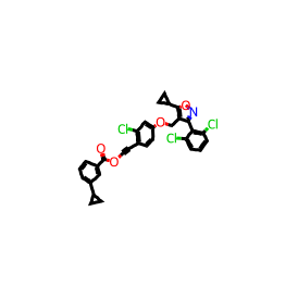 O=C(OC#Cc1ccc(OCc2c(-c3c(Cl)cccc3Cl)noc2C2CC2)cc1Cl)c1cccc(C2CC2)c1